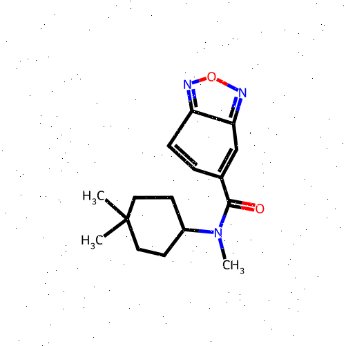 CN(C(=O)c1ccc2nonc2c1)C1CCC(C)(C)CC1